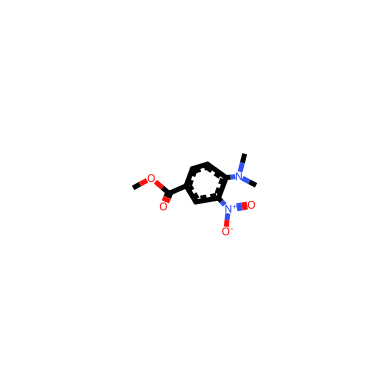 COC(=O)c1ccc(N(C)C)c([N+](=O)[O-])c1